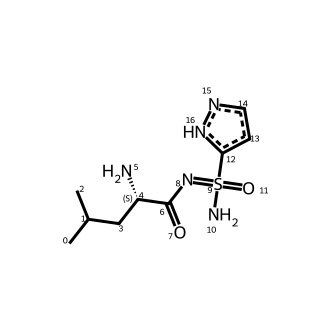 CC(C)C[C@H](N)C(=O)N=S(N)(=O)c1ccn[nH]1